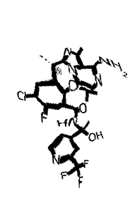 Cc1nc([C@@H](C)c2cc(Cl)c(F)c(C(=O)N[C@](C)(O)c3ccnc(C(F)(F)F)c3)c2OC(C)C)n2ccnc(N)c12